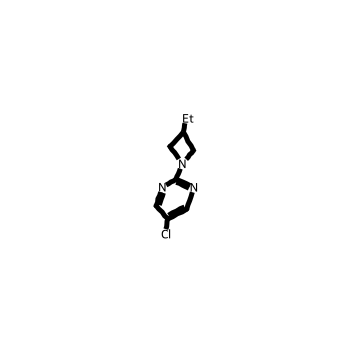 CCC1CN(c2ncc(Cl)cn2)C1